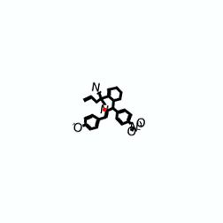 C=CCC(C#N)(C#N)C1=CCCCC1C(C=Cc1ccc(OC)cc1)c1ccc([N+](=O)[O-])cc1